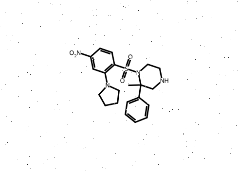 CC1(c2ccccc2)CNCCN1S(=O)(=O)c1ccc([N+](=O)[O-])cc1N1CCCC1